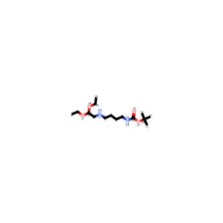 CCOC(CNCCCCNC(=O)OC(C)(C)C)OCC